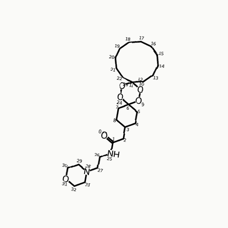 O=C(CC1CCC2(CC1)OOC1(CCCCCCCCCCC1)OO2)NCCN1CCOCC1